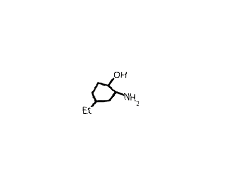 CCC1CCC(O)C(N)C1